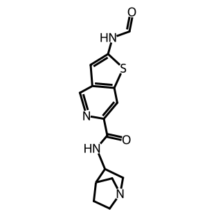 O=CNc1cc2cnc(C(=O)NC3CN4CCC3C4)cc2s1